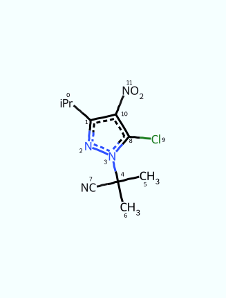 CC(C)c1nn(C(C)(C)C#N)c(Cl)c1[N+](=O)[O-]